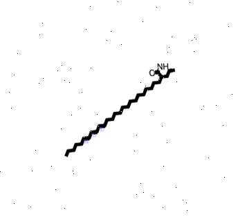 CCCCC/C=C/C=C/C=C/CCCCCCCCCCCCCCC(CCC)C(N)=O